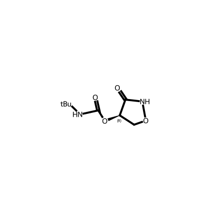 CC(C)(C)NC(=O)O[C@@H]1CONC1=O